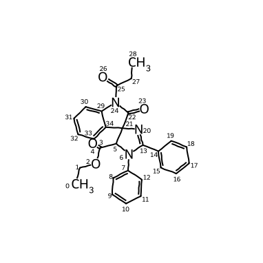 CCOC(=O)C1N(c2ccccc2)C(c2ccccc2)=NC12C(=O)N(C(=O)CC)c1ccccc12